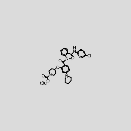 CC(C)(C)OC(=O)N1CCC(Oc2cc(N3CCCCC3)ccc2C(=O)Nc2ccccc2C(=O)Nc2ccc(Cl)cn2)CC1